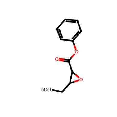 CCCCCCCCCC1OC1C(=O)Oc1ccccc1